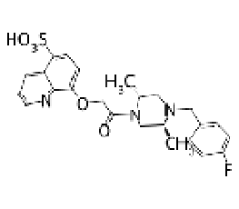 C[C@@H]1CN(Cc2ccc(F)cc2)[C@@H](C)CN1C(=O)COc1ccc(S(=O)(=O)O)c2cccnc12